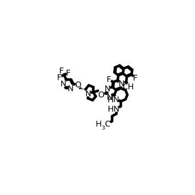 C#Cc1c(F)ccc2cccc(-c3nc4c5c(nc(OCC67CCCN6[C@H](COc6cc(C(F)(F)F)ncn6)CC7)nc5c3F)NC(CNCCCC)CCC4)c12